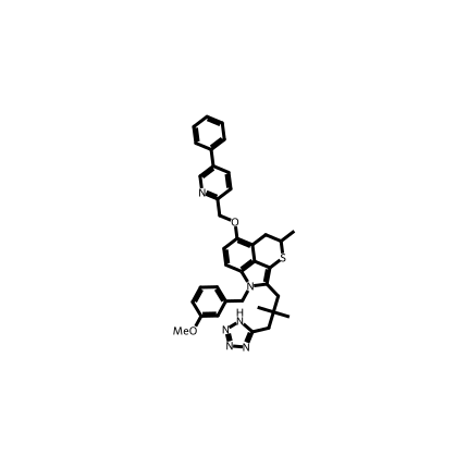 COc1cccc(Cn2c(CC(C)(C)Cc3nnn[nH]3)c3c4c(c(OCc5ccc(-c6ccccc6)cn5)ccc42)CC(C)S3)c1